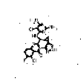 Nc1nc(N)c(Cl)c(NC(c2nc3ccc(F)c(Cl)c3c(=O)n2-c2cc[nH]n2)C2CC2)n1